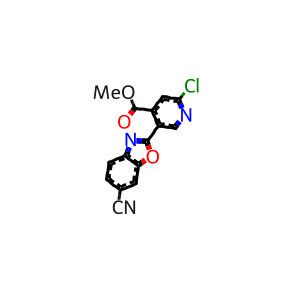 COC(=O)c1cc(Cl)ncc1-c1nc2ccc(C#N)cc2o1